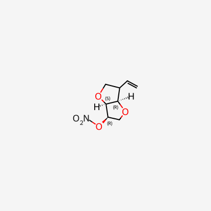 C=CC1CO[C@H]2[C@@H]1OC[C@H]2O[N+](=O)[O-]